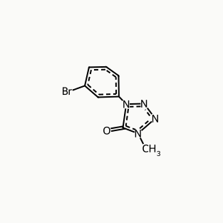 Cn1nnn(-c2cccc(Br)c2)c1=O